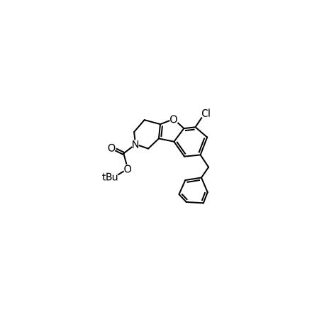 CC(C)(C)OC(=O)N1CCc2oc3c(Cl)cc(Cc4ccccc4)cc3c2C1